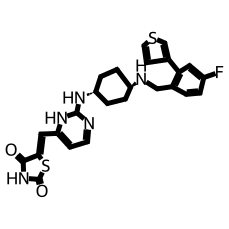 O=C1NC(=O)/C(=C/C2=CC=NC(N[C@H]3CC[C@H](NCc4ccc(F)cc4-c4ccsc4)CC3)N2)S1